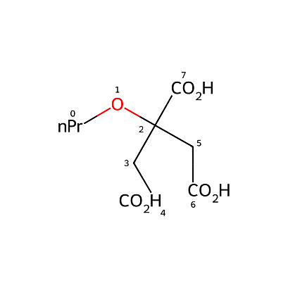 CCCOC(CC(=O)O)(CC(=O)O)C(=O)O